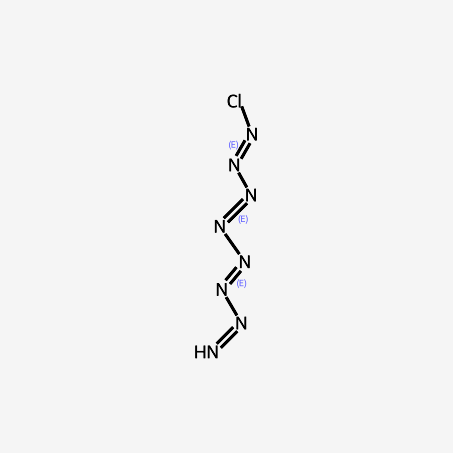 N=N/N=N/N=N/N=N/Cl